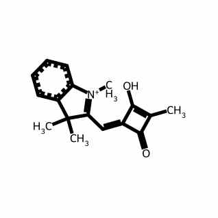 CC1=C(O)/C(=C\C2=[N+](C)c3ccccc3C2(C)C)C1=O